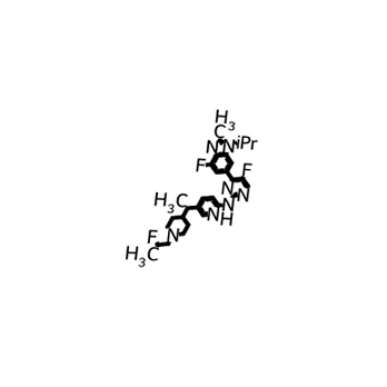 Cc1nc2c(F)cc(-c3nc(Nc4ccc([C@@H](C)C5CCN(CC(C)F)CC5)cn4)ncc3F)cc2n1C(C)C